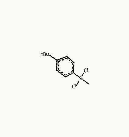 CCCCc1ccc([Si](C)(Cl)Cl)cc1